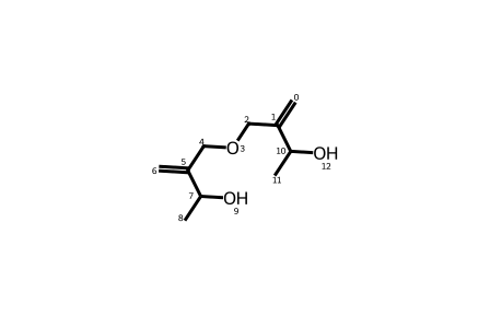 C=C(COCC(=C)C(C)O)C(C)O